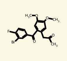 COc1cc(CC(C)=O)c(C(=O)c2ccc(F)c(Br)c2)cc1OC